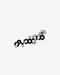 CS(=O)(=O)c1cccc(C[C@H](NC(=O)c2c(Cl)cc3c(c2Cl)CCN(C(=O)c2ccc4ccocc2-4)C3)C(=O)O)c1